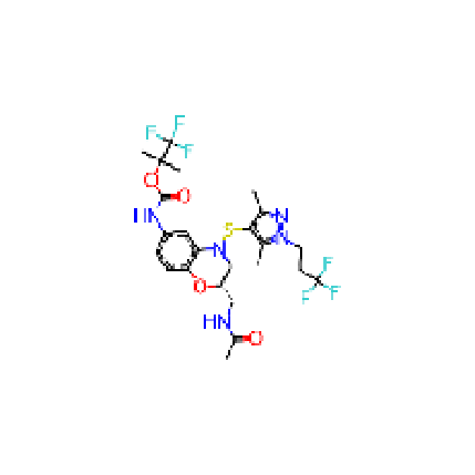 CC(=O)NC[C@H]1CN(Sc2c(C)nn(CCC(F)(F)F)c2C)c2cc(NC(=O)OC(C)(C)C(F)(F)F)ccc2O1